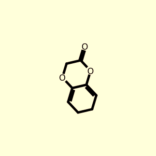 O=C1COC2=CCCC=C2O1